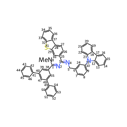 CN/C(=N\C(=N/Cc1cccc(-n2c3ccccc3c3ccccc32)c1)c1ccc2c(c1)sc1ccccc12)c1cc(-c2ccccc2)cc(-c2ccccc2)c1